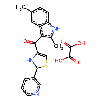 Cc1ccc2[nH]c(C)c(C(=O)C3=CSC(c4cccnc4)N3)c2c1.O=C(O)C(=O)O